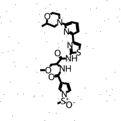 COCC(NC(=O)c1ccn([S+](C)[O-])c1)C(=O)Nc1nc(-c2cccc(N3CCOC(C)C3)n2)cs1